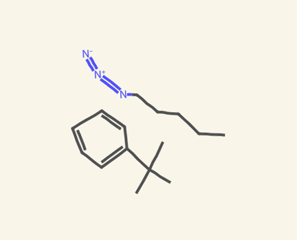 CC(C)(C)c1ccccc1.CCCCCN=[N+]=[N-]